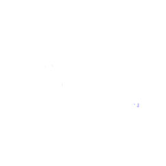 C[C@H](OCCOCCOCCN)C(=O)O